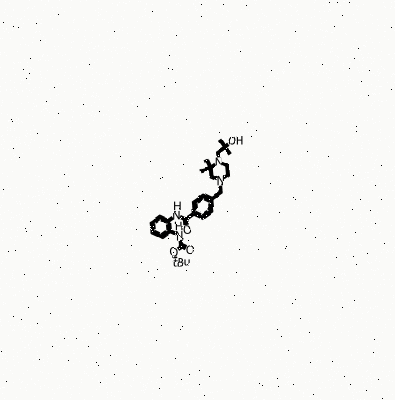 CC(C)(O)CN1CCN(Cc2ccc(C(=O)Nc3ccccc3NC(=O)OC(C)(C)C)cc2)CC1(C)C